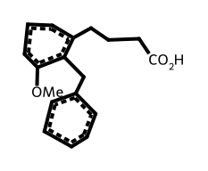 COc1cccc(CCCC(=O)O)c1Cc1ccccc1